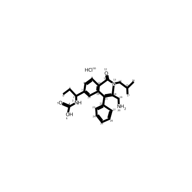 CCC(NC(=O)O)c1ccc2c(=O)n(CC(C)C)c(CN)c(-c3ccccc3)c2c1.Cl